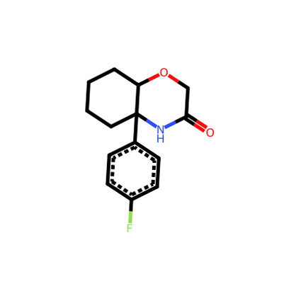 O=C1COC2CCCCC2(c2ccc(F)cc2)N1